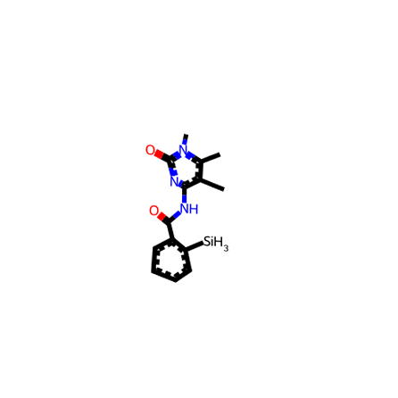 Cc1c(NC(=O)c2ccccc2[SiH3])nc(=O)n(C)c1C